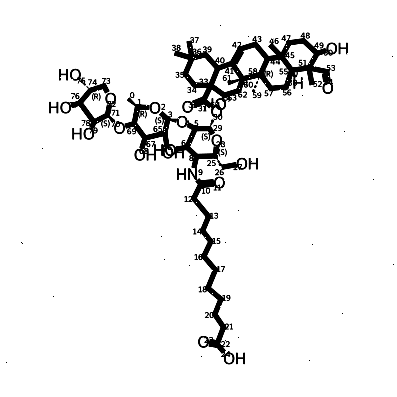 C[C@H]1O[C@@H](OC2C(O)C(NC(=O)CCCCCCCCCCC(=O)O)[C@@H](CO)O[C@H]2OC(=O)C23CCC(C)(C)CC2C2=CCC4C5(C)CCC(O)C(C)(C=O)[C@H]5CC[C@@]4(C)[C@]2(C)C[C@@H]3O)C(O)C(O)C1O[C@@H]1OC[C@@H](O)C(O)C1O